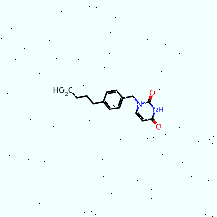 O=C(O)CCCc1ccc(Cn2ccc(=O)[nH]c2=O)cc1